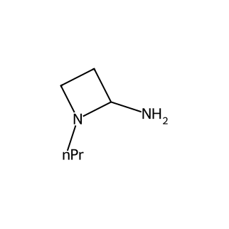 CCCN1CCC1N